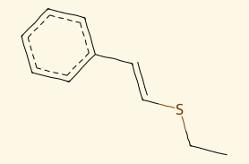 CCS/C=C/c1ccccc1